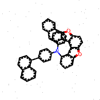 c1ccc(N(c2ccc(-c3cccc4ccccc34)cc2)c2cccc3oc4ccc5oc6c7ccccc7ccc6c5c4c23)cc1